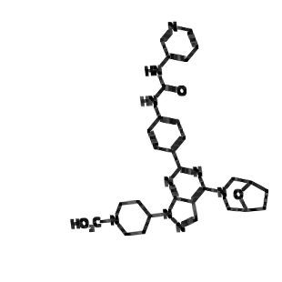 O=C(Nc1ccc(-c2nc(N3CC4CCC(C3)O4)c3cnn(C4CCN(C(=O)O)CC4)c3n2)cc1)Nc1cccnc1